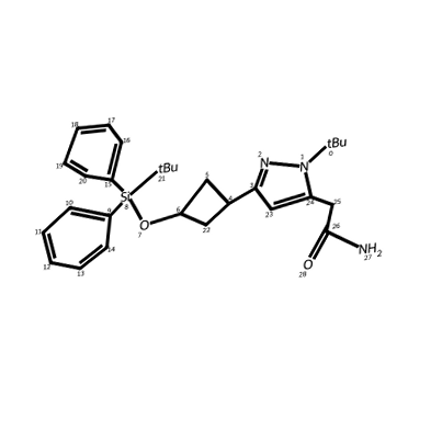 CC(C)(C)n1nc(C2CC(O[Si](c3ccccc3)(c3ccccc3)C(C)(C)C)C2)cc1CC(N)=O